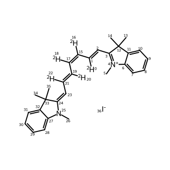 [2H]C(=CC1=[N+](C)c2ccccc2C1(C)C)C([2H])=C([2H])C([2H])=C([2H])C=C1N(C)c2ccccc2C1(C)C.[I-]